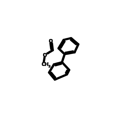 COC=O.c1ccc(-c2ccccc2)cc1